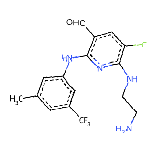 Cc1cc(Nc2nc(NCCN)c(F)cc2C=O)cc(C(F)(F)F)c1